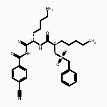 N#Cc1ccc(C(=O)NC(=O)[C@H](CCCCN)NC(=O)[C@@H](CCCCN)NS(=O)(=O)Cc2ccccc2)cc1